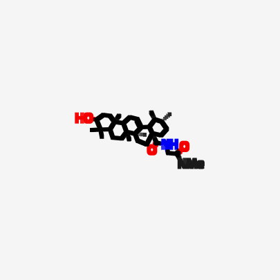 CNC(=O)CNC(=O)[C@]12CC[C@@H](C)[C@H](C)C1C1=CCC3[C@@]4(C)CC[C@H](O)C(C)(C)C4CC[C@@]3(C)[C@]1(C)CC2